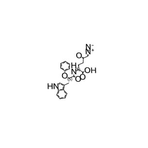 [N-]=[N+]=CC(=O)CC[C@H](NC(=O)[C@H](Cc1c[nH]c2ccccc12)Oc1ccccc1)C(=O)O